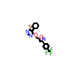 FC(F)(F)c1ccc(-c2cc(COc3ncnc4sc5c(c34)CCCC5)on2)cc1